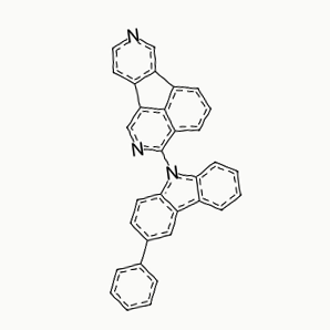 c1ccc(-c2ccc3c(c2)c2ccccc2n3-c2ncc3c4c(cccc24)-c2cnccc2-3)cc1